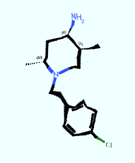 C[C@@H]1C[C@@H](N)[C@@H](C)CN1Cc1ccc(Cl)cc1